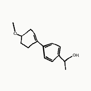 COC1CC=C(c2ccc(C(C)O)cc2)CC1